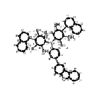 Bc1c(B)c(N(c2ccc(-c3ccc4oc5ccccc5c4c3)cc2)c2c(B)c(B)c(-c3cccc4ccccc34)c(B)c2B)c(B)c(B)c1-c1cccc2ccccc12